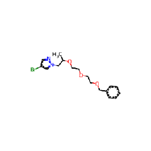 CC(Cn1cc(Br)cn1)OCCOCCOCc1ccccc1